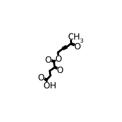 CC(=O)C#CCOC(=O)C(=O)CCC(=O)O